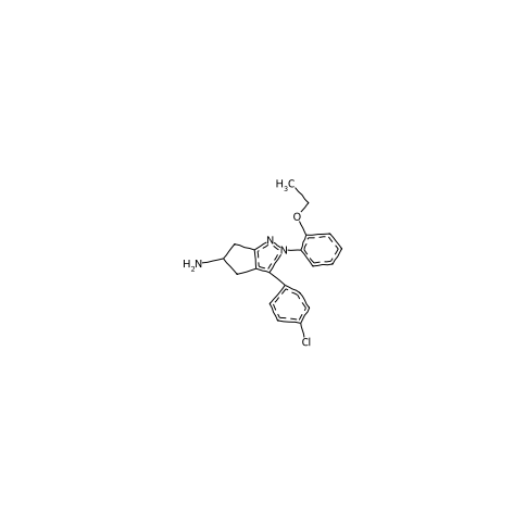 CCOc1ccccc1-n1nc2c(c1-c1ccc(Cl)cc1)CC(N)C2